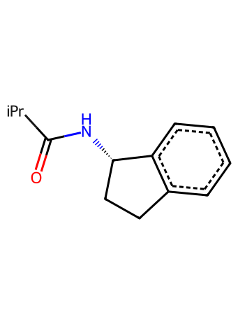 CC(C)C(=O)N[C@H]1CCc2ccccc21